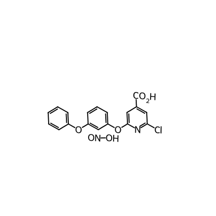 O=C(O)c1cc(Cl)nc(Oc2cccc(Oc3ccccc3)c2)c1.O=NO